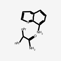 CCCC(CCC)C(N)=O.Nc1cccc2cccnc12